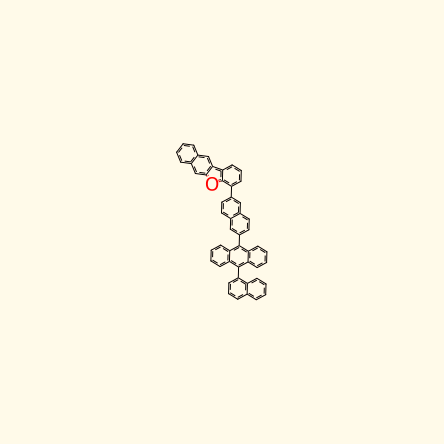 c1ccc2cc3c(cc2c1)oc1c(-c2ccc4cc(-c5c6ccccc6c(-c6cccc7ccccc67)c6ccccc56)ccc4c2)cccc13